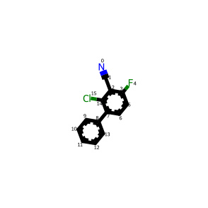 N#Cc1c(F)ccc(-c2ccccc2)c1Cl